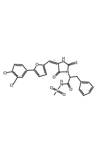 CS(=O)(=O)NC(=O)C(Cc1ccccc1)N1C(=O)/C(=C\c2ccc(-c3ccc(Cl)c(Cl)c3)o2)NC1=S